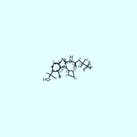 CC(C)(O)c1ccc2nc(NC(=O)CC(C)(C)C(F)(F)F)n(C3CCC3)c2c1F